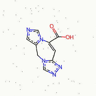 O=C(O)C1=Cc2nncn2Cc2cncn21